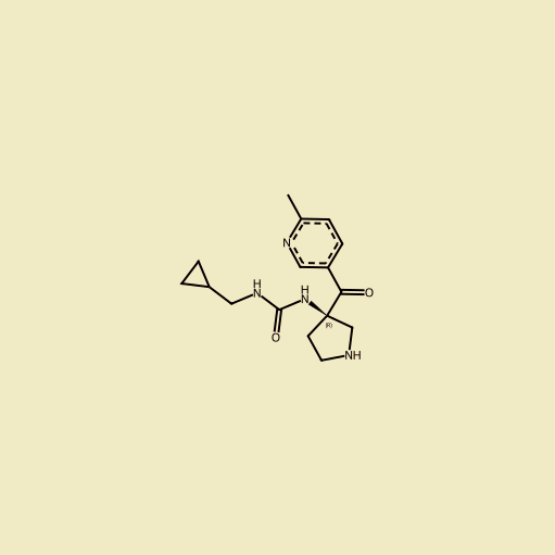 Cc1ccc(C(=O)[C@@]2(NC(=O)NCC3CC3)CCNC2)cn1